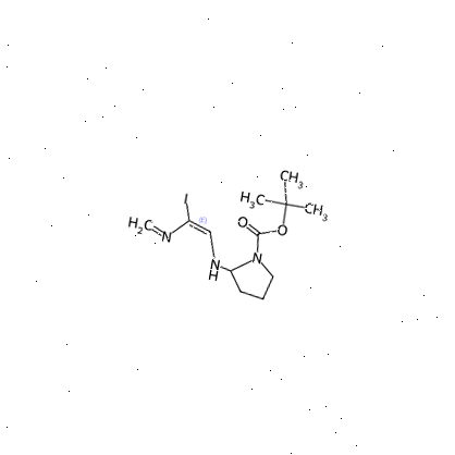 C=N/C(I)=C\NC1CCCN1C(=O)OC(C)(C)C